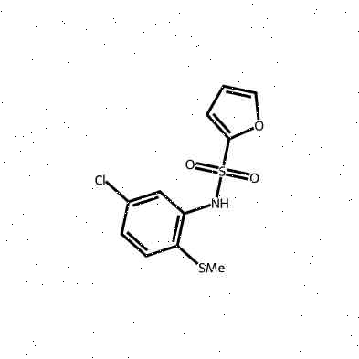 CSc1ccc(Cl)cc1NS(=O)(=O)c1ccco1